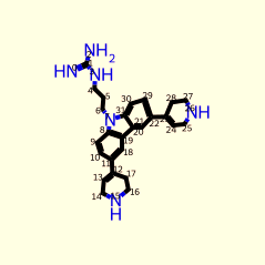 N=C(N)NCCCn1c2ccc(C3=CCNCC3)cc2c2cc(C3=CCNCC3)ccc21